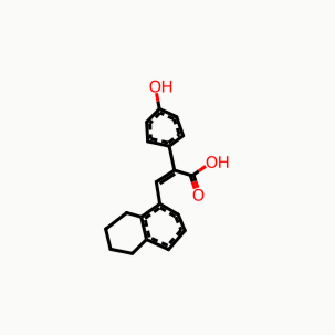 O=C(O)/C(=C\c1cccc2c1CCCC2)c1ccc(O)cc1